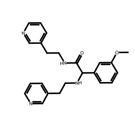 COc1cccc(C(NCCc2cccnc2)C(=O)NCCc2cccnc2)c1